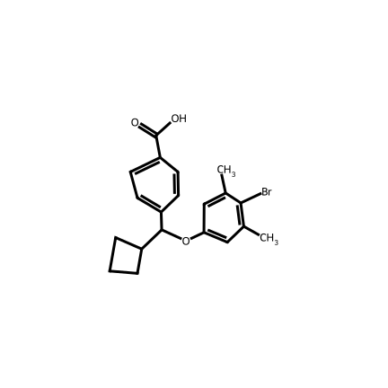 Cc1cc(OC(c2ccc(C(=O)O)cc2)C2CCC2)cc(C)c1Br